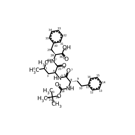 CC(C)CC(NC(=O)[C@H](CCc1ccccc1)NC(=O)OC(C)(C)C)C(=O)N[C@@H](Cc1ccccc1)C(=O)O